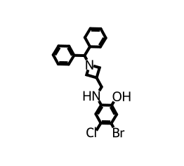 Oc1cc(Br)c(Cl)cc1NCC1CN(C(c2ccccc2)C2C=CC=CC2)C1